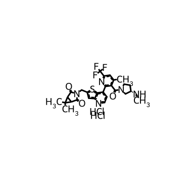 CN[C@H]1CCN(C(=O)c2c(C)cc(C(F)(F)F)nc2-c2ccnc3cc(CN4C(=O)C5C(C4=O)C5(C)C)sc23)C1.Cl.Cl